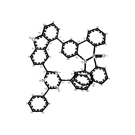 O=P1(c2ccccc2)c2ccccc2-c2cc(-c3cccc4oc5ccc(-c6nc(-c7ccccc7)nc(-c7ccccc7)n6)cc5c34)ccc2N1c1ccccc1